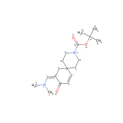 CN(C)/C=C1/CC2(C=CC1=O)CCN(C(=O)OC(C)(C)C)CC2